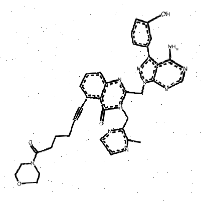 Cc1nccnc1Cn1c(Cn2nc(-c3cccc(O)c3)c3c(N)ncnc32)nc2cccc(C#CCCCC(=O)N3CCOCC3)c2c1=O